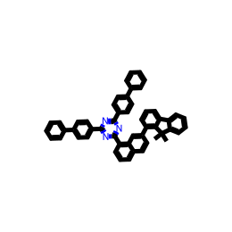 CC1(C)c2ccccc2-c2cccc(-c3ccc4cccc(-c5nc(-c6ccc(-c7ccccc7)cc6)nc(-c6ccc(-c7ccccc7)cc6)n5)c4c3)c21